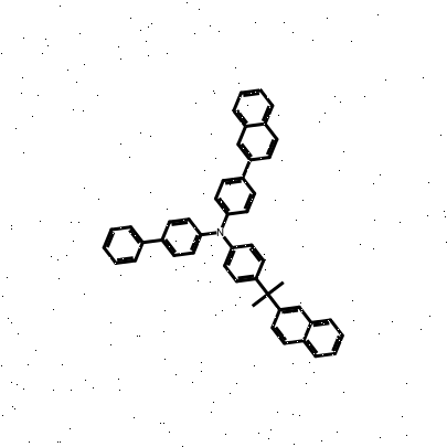 CC(C)(c1ccc(N(c2ccc(-c3ccccc3)cc2)c2ccc(-c3ccc4ccccc4c3)cc2)cc1)c1ccc2ccccc2c1